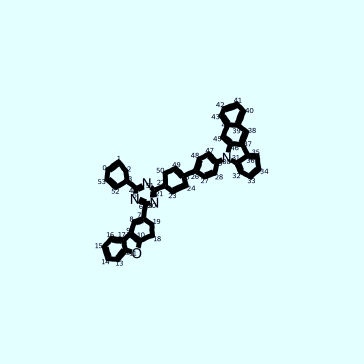 C1=CCC(c2nc(C3=Cc4c(oc5ccccc45)CC3)nc(C3C=CC(c4ccc(-n5c6ccccc6c6cc7ccccc7cc65)cc4)=CC3)n2)C=C1